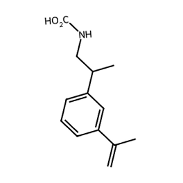 C=C(C)c1cccc(C(C)CNC(=O)O)c1